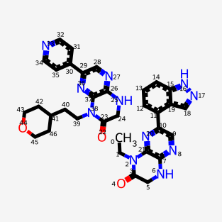 CCN1C(=O)CNc2ncc(-c3cccc4[nH]ncc34)nc21.O=C1CNc2ncc(-c3ccncc3)nc2N1CCC1CCOCC1